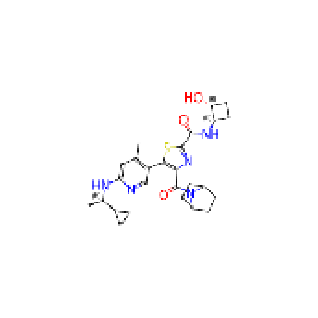 Cc1cc(N[C@H](C)C2CC2)ncc1-c1sc(C(=O)N[C@@H]2CC[C@H]2O)nc1C(=O)N1C2CCC1CC2